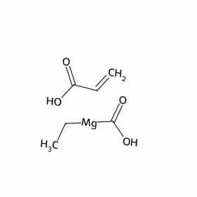 C=CC(=O)O.C[CH2][Mg][C](=O)O